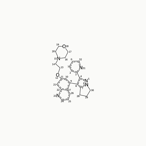 c1ccc(-c2nn3c(c2-c2cc(OCCN4CCOCC4)cc4ncccc24)CCC3)nc1